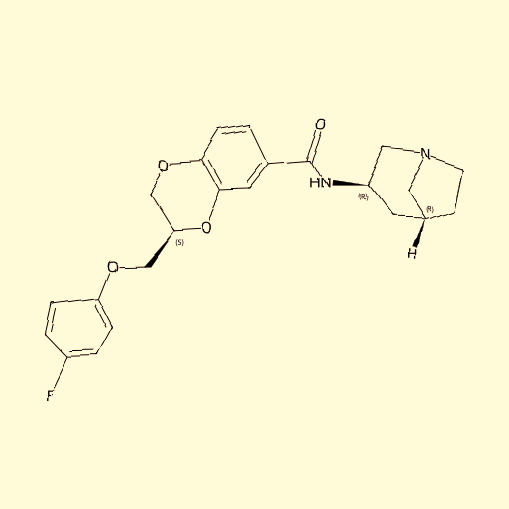 O=C(N[C@@H]1C[C@H]2CCN(C2)C1)c1ccc2c(c1)O[C@@H](COc1ccc(F)cc1)CO2